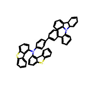 C1=CC2c3ccccc3N(c3ccccc3-c3cccc(-c4ccc(N(c5cccc6sc7ccccc7c56)c5cccc6sc7ccccc7c56)cc4)c3)C2C=C1